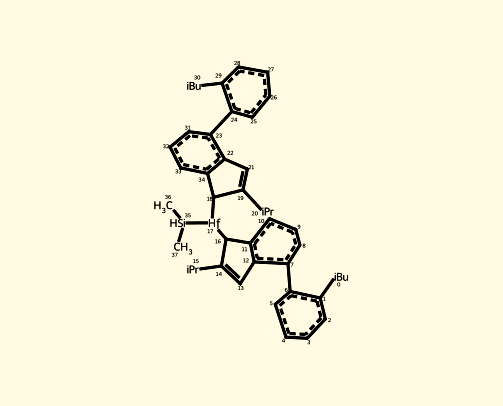 CCC(C)c1ccccc1-c1cccc2c1C=C(C(C)C)[CH]2[Hf]([CH]1C(C(C)C)=Cc2c(-c3ccccc3C(C)CC)cccc21)[SiH](C)C